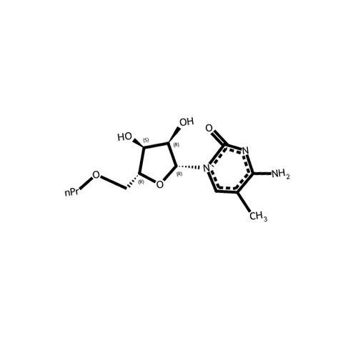 CCCOC[C@H]1O[C@@H](n2cc(C)c(N)nc2=O)[C@H](O)[C@@H]1O